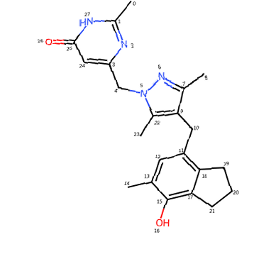 Cc1nc(Cn2nc(C)c(Cc3cc(C)c(O)c4c3CCC4)c2C)cc(=O)[nH]1